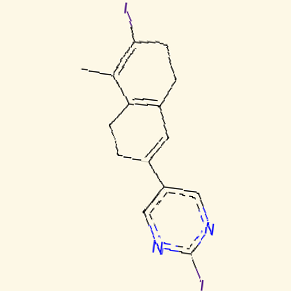 CC1=C(I)CCC2=C1CCC(c1cnc(I)nc1)=C2